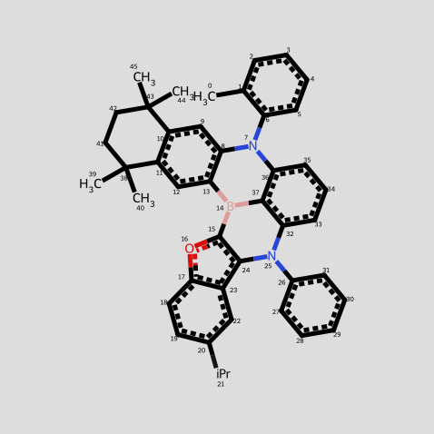 Cc1ccccc1N1c2cc3c(cc2B2c4oc5ccc(C(C)C)cc5c4N(c4ccccc4)c4cccc1c42)C(C)(C)CCC3(C)C